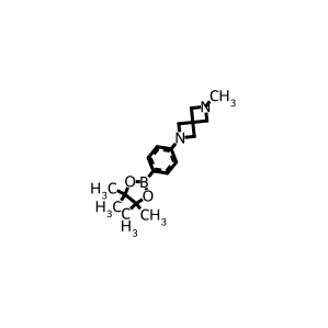 CN1CC2(C1)CN(c1ccc(B3OC(C)(C)C(C)(C)O3)cc1)C2